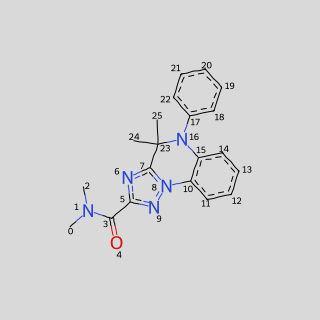 CN(C)C(=O)c1nc2n(n1)-c1ccccc1N(c1ccccc1)C2(C)C